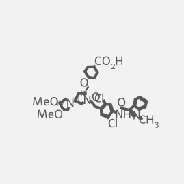 COC1CN([C@H]2C[C@@H](CO[C@H]3CC[C@H](C(=O)O)CC3)N(C(=O)Cc3cc(Cl)c(NC(=O)c4cn(C)c5ccccc45)cc3Cl)C2)C[C@H]1OC